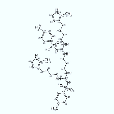 Cc1ccc(S(=O)(=O)N=C(NCCCNC(=NS(=O)(=O)c2ccc(C)cc2)NCCSCc2nc[nH]c2C)NCCSCc2nc[nH]c2C)cc1